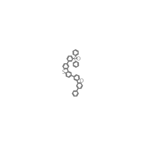 O=P(c1ccccc1)(c1ccccc1)c1cccc(-c2ccc3sc4ccc(-c5ccc6oc7ccc(-c8ccccc8)cc7c6c5)cc4c3c2)c1